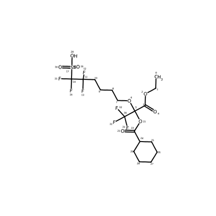 CCOC(=O)C(OCCCCC(F)(F)C(F)(F)S(=O)(=O)O)(OC(=O)C1CCCCC1)C(F)(F)F